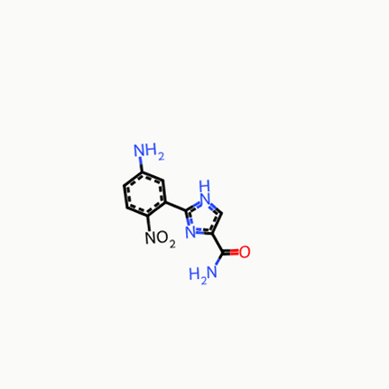 NC(=O)c1c[nH]c(-c2cc(N)ccc2[N+](=O)[O-])n1